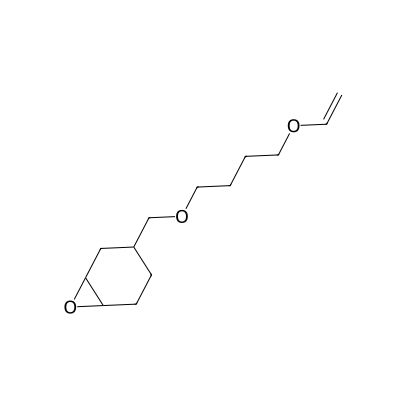 C=COCCCCOCC1CCC2OC2C1